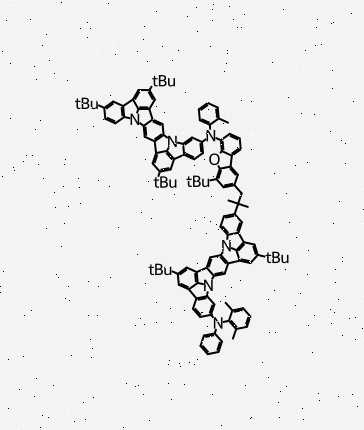 Cc1ccccc1N(c1ccc2c3cc(C(C)(C)C)cc4c5cc6c(cc5n(c2c1)c34)c1cc(C(C)(C)C)cc2c3cc(C(C)(C)C)ccc3n6c21)c1cccc2c1oc1c(C(C)(C)C)cc(CC(C)(C)c3ccc4c(c3)c3cc(C(C)(C)C)cc5c6cc7c(cc6n4c35)c3cc(C(C)(C)C)cc4c5ccc(N(c6ccccc6)c6c(C)cccc6C)cc5n7c43)cc12